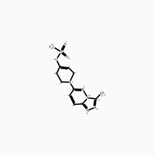 O=S(=O)(OC1=CCN(c2ccc3nnc(C(F)(F)F)n3n2)CC1)C(F)(F)F